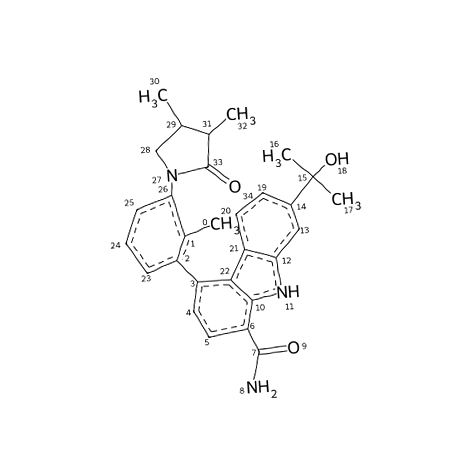 Cc1c(-c2ccc(C(N)=O)c3[nH]c4cc(C(C)(C)O)ccc4c23)cccc1N1CC(C)C(C)C1=O